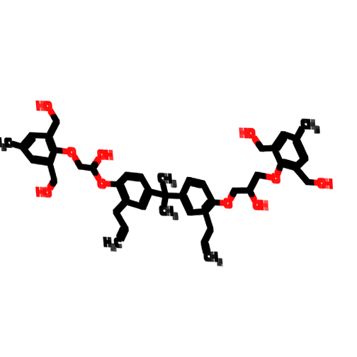 C=CCc1cc(C(C)(C)c2ccc(OC(O)COc3c(CO)cc(C)cc3CO)c(CC=C)c2)ccc1OCC(O)COc1c(CO)cc(C)cc1CO